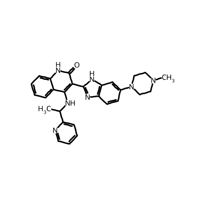 CC(Nc1c(-c2nc3ccc(N4CCN(C)CC4)cc3[nH]2)c(=O)[nH]c2ccccc12)c1ccccn1